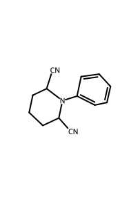 N#CC1CCCC(C#N)N1c1ccccc1